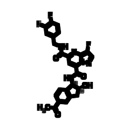 CC(=O)c1ccc2c(c1)C[C@@H](O)[C@@H]2NC(=O)c1cc(C(=O)NCc2ccc(F)c(F)c2)nc2c(F)cnn12